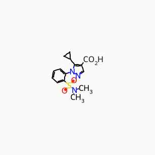 CN(C)S(=O)(=O)c1ccccc1-n1ncc(C(=O)O)c1C1CC1